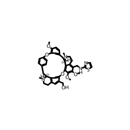 COc1ccc2cc1Oc1ccc(cc1)C[C@H]1c3cc(c(CO)cc3CCN1C)Oc1c(OC)c(OC)c(CNc3nccs3)c3c1[C@H](C2)N(C)CC3